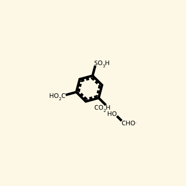 O=C(O)c1cc(C(=O)O)cc(S(=O)(=O)O)c1.O=[C]O